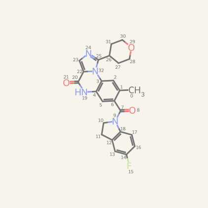 Cc1cc2c(cc1C(=O)N1CCc3cc(F)ccc31)[nH]c(=O)c1cnc(C3CCOCC3)n12